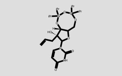 C=CC[C@]1(O)C(n2ccc(=O)[nH]c2=O)OC2CO[Si](C(C)C)(C(C)C)O[Si](C(C)C)(C(C)C)O[C@H]21